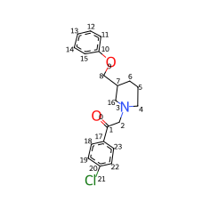 O=C(CN1CCCC(COc2ccccc2)C1)c1ccc(Cl)cc1